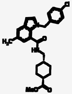 COC(=O)[C@H]1CC[C@H](CNC(=O)c2cc(C)cc3ccn(Cc4ccc(Cl)cc4)c23)CC1